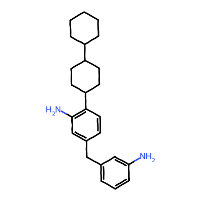 Nc1cccc(Cc2ccc(C3CCC(C4CCCCC4)CC3)c(N)c2)c1